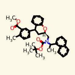 COC(=O)c1cc(C2C[C@H](CN(C(=O)OC(C)(C)C)C(C)c3cccc4ccccc34)Oc3ccccc32)ccc1C